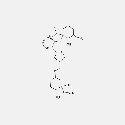 CC1CCCC(Oc2ccccc2C2OCC(COC3CCCC(C)(C(C)C)C3)O2)(C(C)C)C1O